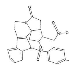 Cc1ccc(S(=O)(=O)n2c3c(c4ccccc42)CCN2C(=O)CC4C(C[N+](=O)[O-])C(C)CC342)cc1